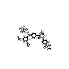 CCS(=O)(=O)c1ccc([C@H](CC#N)NC(=O)c2ccc(N(CCS(=O)(=O)NC)c3cc(C4CC4)cc(C4CC4)c3)cc2)cc1